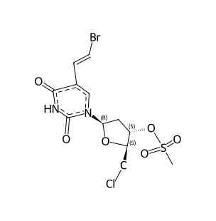 CS(=O)(=O)O[C@H]1C[C@H](n2cc(C=CBr)c(=O)[nH]c2=O)O[C@@H]1CCl